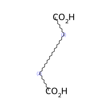 O=C(O)CCCCCCC/C=C\CCCCCCCCCCCCCCCCCC/C=C\CCCCCCCC(=O)O